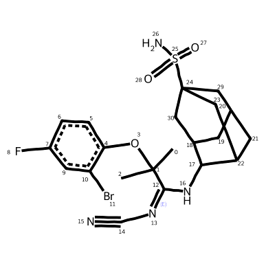 CC(C)(Oc1ccc(F)cc1Br)/C(=N\C#N)NC1C2CC3CC1CC(S(N)(=O)=O)(C3)C2